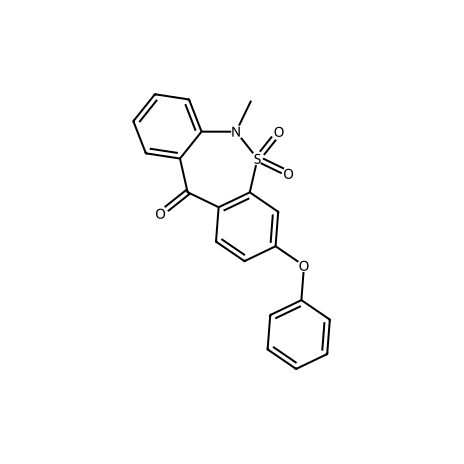 CN1c2ccccc2C(=O)c2ccc(Oc3ccccc3)cc2S1(=O)=O